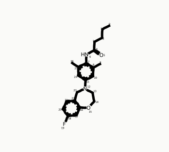 CCCCC(=O)Nc1c(C)cc(N2CCOc3cc(F)ccc3C2)cc1C